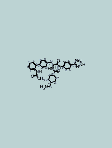 CC(=O)Nc1ccccc1-c1ccc(C[C@H](NC(=O)[C@H]2CC[C@H](CN)CC2)C(=O)Nc2ccc(-c3nn[nH]n3)cc2)cc1